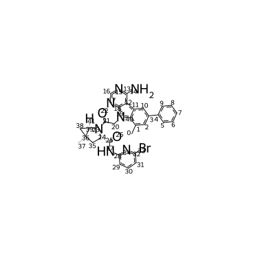 Cc1cc(-c2ccccc2)cc2c3c(N)ncnc3n(CC(=O)N3[C@H](C(=O)Nc4cccc(Br)n4)C[C@@]4(C)C[C@@H]34)c12